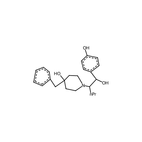 CCCC(C(O)c1ccc(O)cc1)N1CCC(O)(Cc2ccccc2)CC1